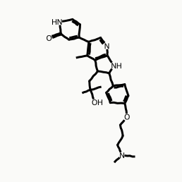 Cc1c(-c2cc[nH]c(=O)c2)cnc2c1C(CC(C)(C)O)C(c1ccc(OCCCN(C)C)cc1)N2